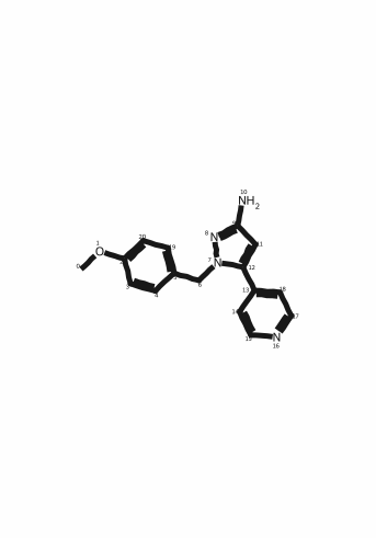 COc1ccc(Cn2nc(N)cc2-c2ccncc2)cc1